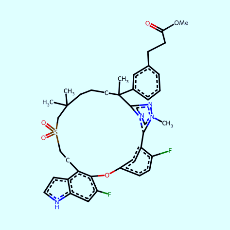 COC(=O)CCc1cccc(C2(C)CCCC(C)(C)CS(=O)(=O)CCc3c(c(F)cc4[nH]ccc34)Oc3ccc(F)c(c3)-c3nc2nn3C)c1